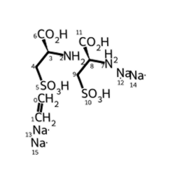 C=C.N[C@@H](CS(=O)(=O)O)C(=O)O.N[C@@H](CS(=O)(=O)O)C(=O)O.[Na].[Na].[Na].[Na]